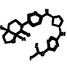 O=C1[C@@H]2OCC[C@@H]2CCN1c1ccc(N[C@H]2CC[C@H](Nc3cnc(OC(F)F)cn3)C2)nc1